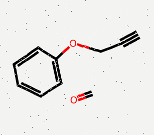 C#CCOc1ccccc1.C=O